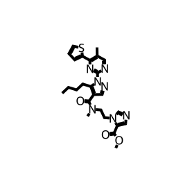 CCCCc1c(C(=O)N(C)CCn2cncc2C(=O)OC)cnn1-c1ncc(C)c(-c2cccs2)n1